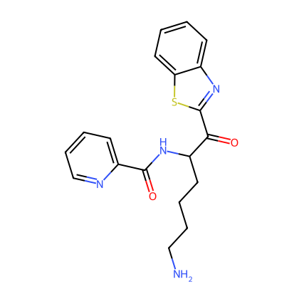 NCCCCC(NC(=O)c1ccccn1)C(=O)c1nc2ccccc2s1